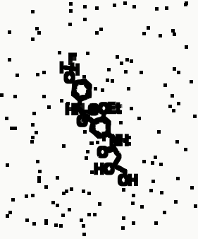 CCOc1cc(NC(=O)CC(O)CO)ccc1S(=O)(=O)Nc1cccc(OC(F)(I)I)c1